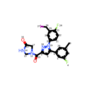 Cc1cc(F)cc(-c2cc(C(=O)N3CNC(=O)C3)nn2-c2ccc(F)c(CI)c2)c1